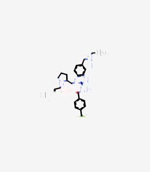 C=CC(=O)N1CCCC1Cn1c(NC(=O)c2ccc(C(F)F)cc2)nc2cc(CNCC(C)(C)C)ccc21